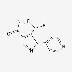 NC(=O)c1cnn(-c2ccncc2)c1C(F)F